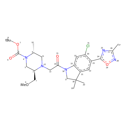 COC[C@H]1CN(C(=O)OC(C)(C)C)[C@H](C)CN1CC(=O)N1CC(C)(C)c2cc(-c3nc(C)no3)c(Cl)cc21